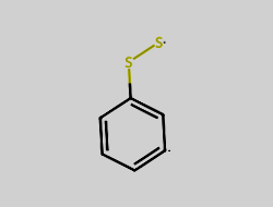 [S]Sc1c[c]ccc1